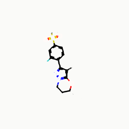 C[C@@H]1CCn2nc(-c3ccc(S(C)(=O)=O)cc3F)c(C(=O)O)c2O1